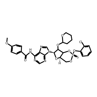 COc1ccc(C(=O)Nc2ncnc3c2ncn3[C@@H]2O[C@@H]3COP(=S)(Oc4ccccc4Cl)OC3C2OC2CCCCO2)cc1